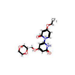 O=c1cc(OC[C@H]2COCCO2)cc(-n2ccc(OCC(F)(F)F)cc2=O)[nH]1